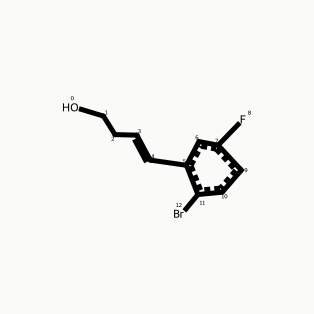 OCCC=Cc1cc(F)ccc1Br